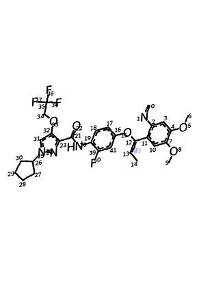 C=Nc1cc(OC)c(OC)cc1/C(=C\C)Oc1ccc(NC(=O)c2nn(C3CCCC3)cc2OCC(F)(F)F)c(F)c1